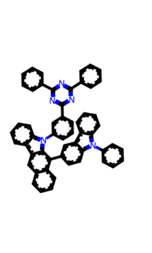 c1ccc(-c2nc(-c3ccccc3)nc(-c3cccc(-n4c5ccccc5c5cc6ccccc6c(-c6ccc7c(c6)c6ccccc6n7-c6ccccc6)c54)c3)n2)cc1